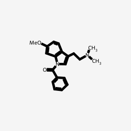 COc1ccc2c(CCN(C)C)cn(C(=O)c3ccccc3)c2c1